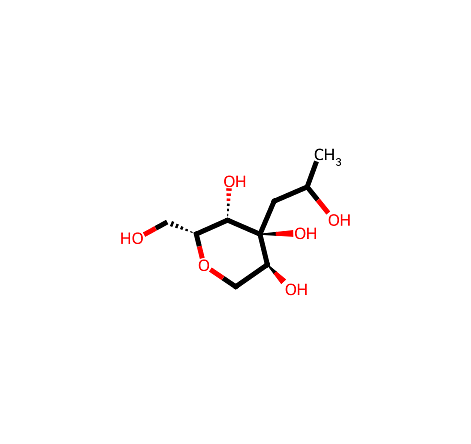 CC(O)C[C@]1(O)[C@@H](O)CO[C@H](CO)[C@@H]1O